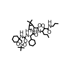 CCCNC(=O)C(=O)C(CCC)NC(=O)C1C2C(CN1C(=O)[C@@H](NC(=O)NC1(CS(=O)(=O)C(C)(C)C)CCCCC1)C1CCCCC1)C2(C)C